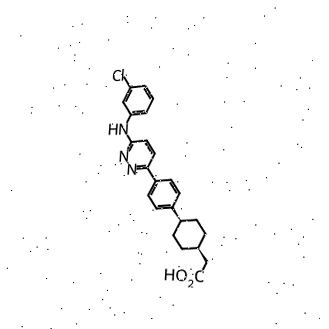 O=C(O)C[C@H]1CC[C@@H](c2ccc(-c3ccc(Nc4cccc(Cl)c4)nn3)cc2)CC1